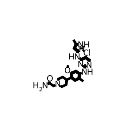 COc1cc(Nc2ncc(Cl)c(Nc3cc(C)[nH]n3)n2)c(C)cc1C1CCN(CC(N)=O)CC1